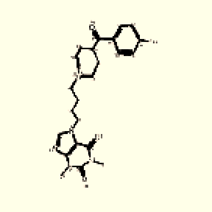 Cn1c(=O)c2c(ncn2CCCCN2CCC(C(=O)c3ccc(F)cc3)CC2)n(C)c1=O